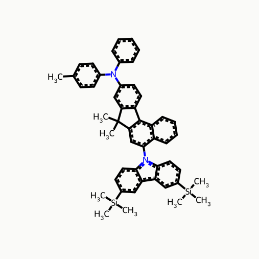 Cc1ccc(N(c2ccccc2)c2ccc3c(c2)C(C)(C)c2cc(-n4c5ccc([Si](C)(C)C)cc5c5cc([Si](C)(C)C)ccc54)c4ccccc4c2-3)cc1